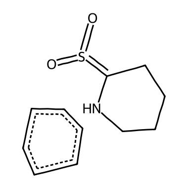 O=S(=O)=C1CCCCN1.c1ccccc1